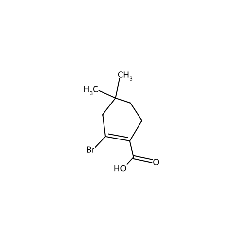 CC1(C)CCC(C(=O)O)=C(Br)C1